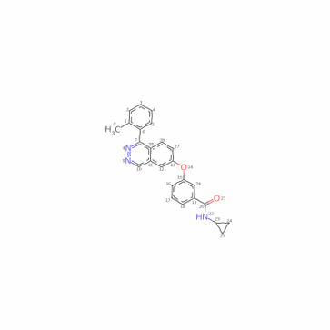 Cc1ccccc1-c1nncc2cc(Oc3cccc(C(=O)NC4CC4)c3)ccc12